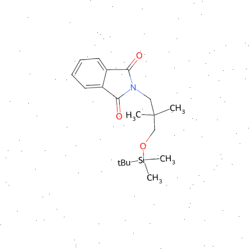 CC(C)(CO[Si](C)(C)C(C)(C)C)CN1C(=O)c2ccccc2C1=O